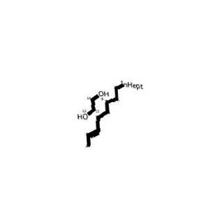 C/C=C/CCCCCCCCCCCC.OCCO